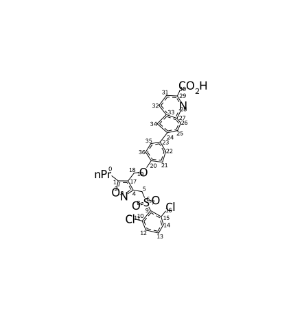 CCCc1onc(CS(=O)(=O)c2c(Cl)cccc2Cl)c1COc1ccc(-c2ccc3nc(C(=O)O)ccc3c2)cc1